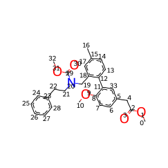 COC(=O)Cc1ccc(OC)c(-c2ccc(C)cc2CN(CCc2ccccc2)C(=O)OC)c1